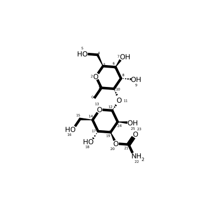 CC1O[C@@H](CO)[C@@H](O)[C@H](O)[C@@H]1O[C@H]1O[C@H](CO)[C@@H](O)[C@H](OC(N)=O)[C@@H]1O